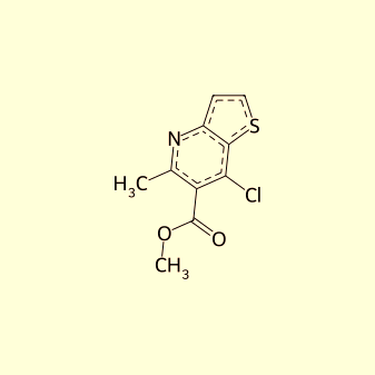 COC(=O)c1c(C)nc2ccsc2c1Cl